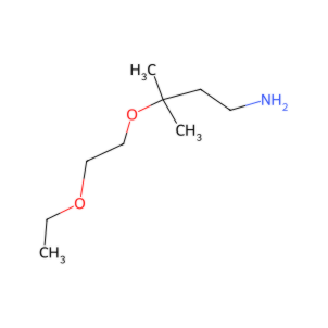 CCOCCOC(C)(C)CCN